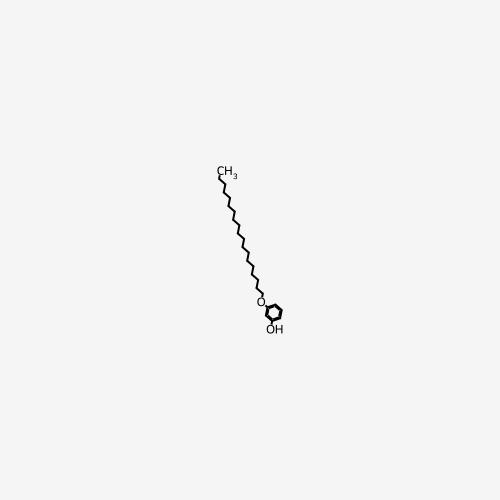 CCCCCCCCCCCCCCCCCCCOc1cccc(O)c1